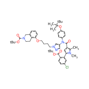 Cc1c(C(=O)N(c2ccc(O[Si](C)(C)C(C)(C)C)cc2)c2cnn(CCCCOc3cccc4c3CCN(C(=O)OC(C)(C)C)C4)c2)cc(-c2cc(Cl)ccc2C(=O)OC(C)(C)C)n1C